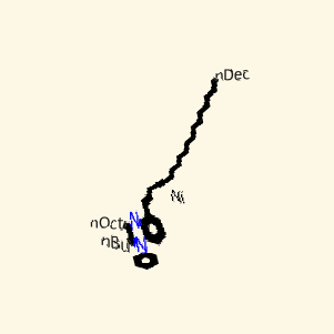 CCCCCCCCCCCCCCCCCCCCCCCCC#CCCCc1ccccc1N=C(CCCCCCCC)C(CCCC)=Nc1ccccc1.[Ni]